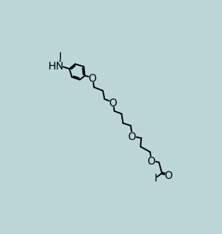 O=C(I)COCCCOCCCCOCCCOc1ccc(NI)cc1